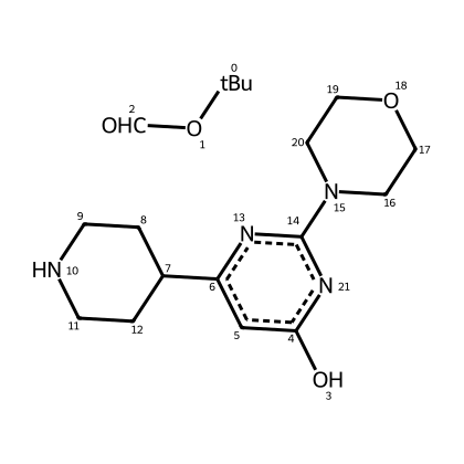 CC(C)(C)OC=O.Oc1cc(C2CCNCC2)nc(N2CCOCC2)n1